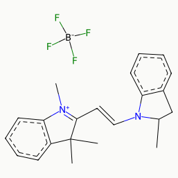 CC1Cc2ccccc2N1C=CC1=[N+](C)c2ccccc2C1(C)C.F[B-](F)(F)F